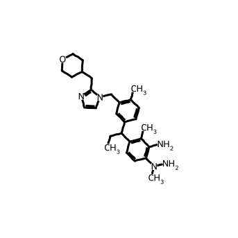 CCC(c1ccc(C)c(Cn2ccnc2CC2CCOCC2)c1)c1ccc(N(C)N)c(N)c1C